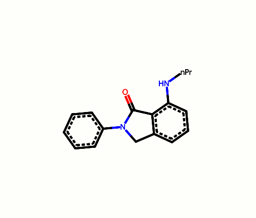 CCCNc1cccc2c1C(=O)N(c1ccccc1)C2